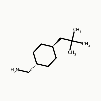 CC(C)(C)C[C@H]1CC[C@H](CN)CC1